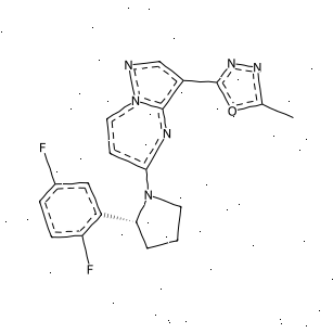 Cc1nnc(-c2cnn3ccc(N4CCC[C@@H]4c4cc(F)ccc4F)nc23)o1